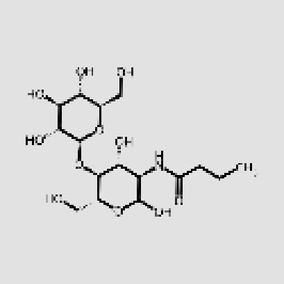 CCCC(=O)N[C@H]1C(O)O[C@H](CO)[C@@H](O[C@@H]2O[C@H](CO)[C@@H](O)[C@H](O)[C@H]2O)[C@@H]1O